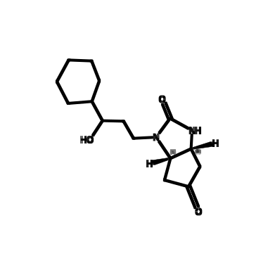 O=C1C[C@H]2NC(=O)N(CCC(O)C3CCCCC3)[C@H]2C1